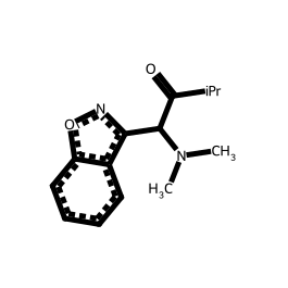 CC(C)C(=O)C(c1noc2ccccc12)N(C)C